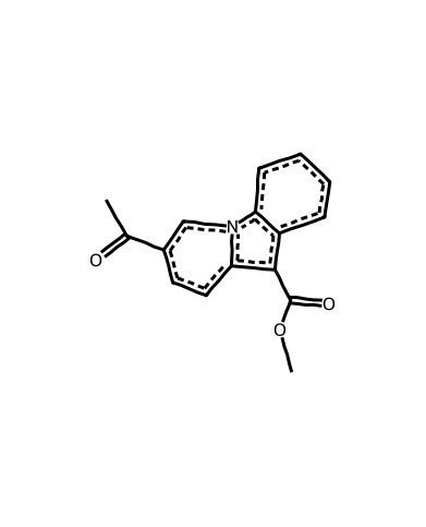 COC(=O)c1c2ccccc2n2cc(C(C)=O)ccc12